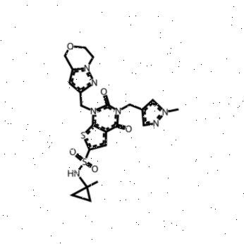 Cn1cc(Cn2c(=O)c3cc(S(=O)(=O)NC4(C)CC4)sc3n(Cc3cc4n(n3)CCOC4)c2=O)cn1